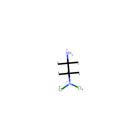 CC(C)(N)C(C)(C)N(Cl)Cl